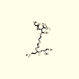 CCCC(NC[C@@H](O)CO)OOCOCCOC(O)[C@@H](NC(=O)CN)C(C)C